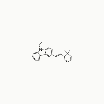 CCn1c2ccccc2c2cc(/C=C/C3C=CC=CC3(C)C)ccc21